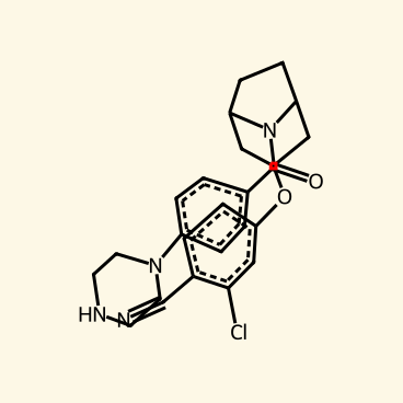 N#Cc1ccc(OC2CC3CCC(C2)N3C(=O)c2ccc(N3CCNCC3)cc2)cc1Cl